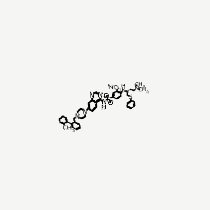 Cc1ccccc1-c1ccccc1CN1CCN(c2ccc3c(NS(=O)(=O)c4ccc(N[C@H](CCN(C)C)CSc5ccccc5)c([N+](=O)[O-])c4)ncnc3c2)CC1